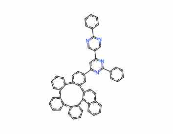 c1ccc(-c2ncc(-c3cc(-c4ccc5c6ccccc6c6ccccc6c6ccccc6c6c7ccccc7ccc6c5c4)nc(-c4ccccc4)n3)cn2)cc1